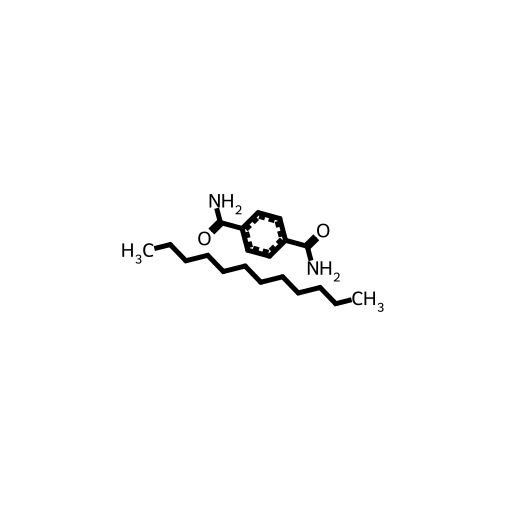 CCCCCCCCCCCC.NC(=O)c1ccc(C(N)=O)cc1